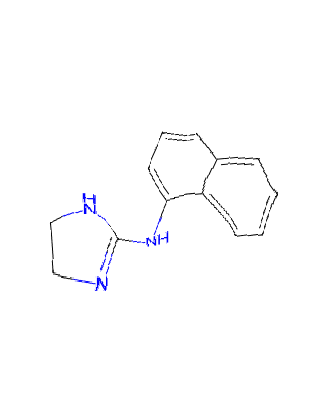 c1ccc2c(NC3=NCCN3)cccc2c1